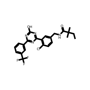 CCC(C)(C)C(=O)NCc1ccc(Cl)c(-c2nc(O)nc(-c3cccc(C(F)(F)F)c3)n2)c1